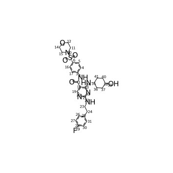 O=C(Nc1ccc(S(=O)(=O)N2CCOCC2)cc1)c1cnc(NCCc2ccc(F)cc2)nc1N[C@H]1CC[C@H](O)CC1